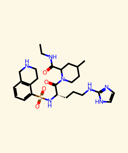 CCNC(=O)C1CC(C)CCN1C(=O)[C@H](CCCNc1ncc[nH]1)NS(=O)(=O)c1cccc2c1CCNC2